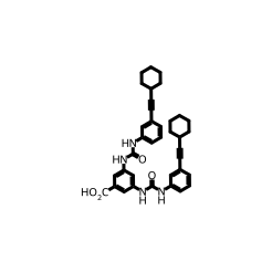 O=C(Nc1cccc(C#CC2CCCCC2)c1)Nc1cc(NC(=O)Nc2cccc(C#CC3CCCCC3)c2)cc(C(=O)O)c1